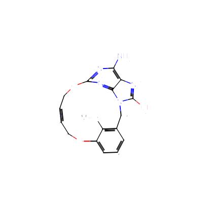 COc1c2cccc1OC/C=C\COc1nc(N)c3nc(O)n(c3n1)C2